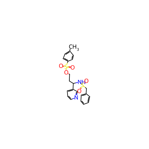 Cc1ccc(S(=O)(=O)OCCC(NS(=O)(=O)Cc2ccccc2)c2cccnc2)cc1